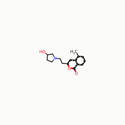 Cc1cccc2c(=O)oc(CCN3CCC(O)C3)cc12